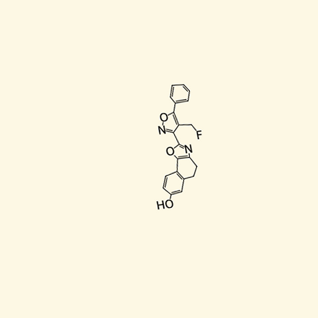 Oc1ccc2c(c1)CCc1nc(-c3noc(-c4ccccc4)c3CF)oc1-2